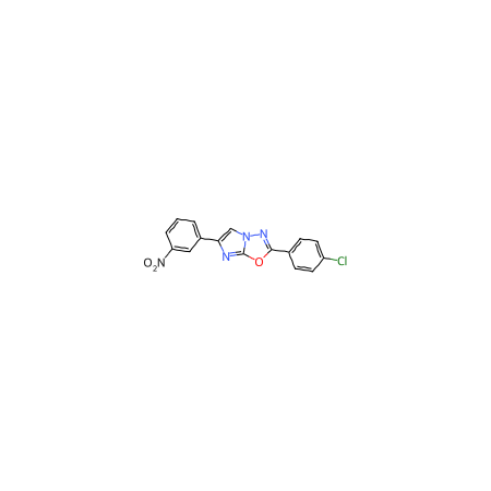 O=[N+]([O-])c1cccc(-c2cn3nc(-c4ccc(Cl)cc4)oc3n2)c1